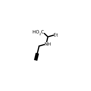 C#CCNC(CC)C(=O)O